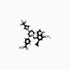 Cc1cc(C2CC2)c(CN2CC[C@H](N3CC(C(F)(F)F)C3)C[C@H]2c2ccc(C(=O)O)cc2)c2cc[nH]c12